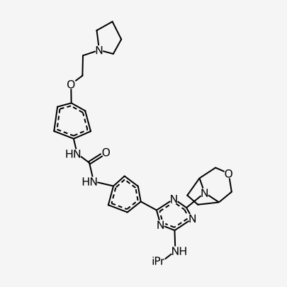 CC(C)Nc1nc(-c2ccc(NC(=O)Nc3ccc(OCCN4CCCC4)cc3)cc2)nc(N2C3CCC2COC3)n1